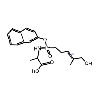 C/C(=C\CCP(=O)(NC(C)C(=O)O)Oc1ccc2ccccc2c1)CO